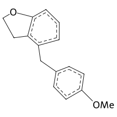 COc1ccc(Cc2cccc3c2CCO3)cc1